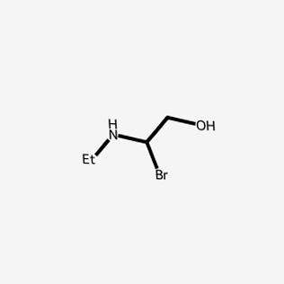 CCNC(Br)CO